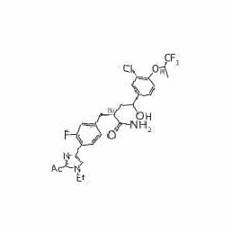 CCn1cc(-c2ccc(C[C@@H](CC(O)c3ccc(O[C@H](C)C(F)(F)F)c(Cl)c3)C(N)=O)cc2F)nc1C(C)=O